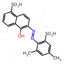 Cc1cc(C)c(N=Nc2ccc3c(S(=O)(=O)O)cccc3c2O)c(S(=O)(=O)O)c1